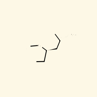 CO[C@@H](C)C[C@@H](CO)NC(=O)O